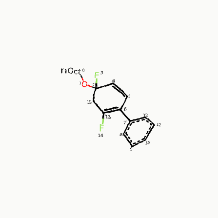 CCCCCCCCOC1(F)C=CC(c2ccccc2)=C(F)C1